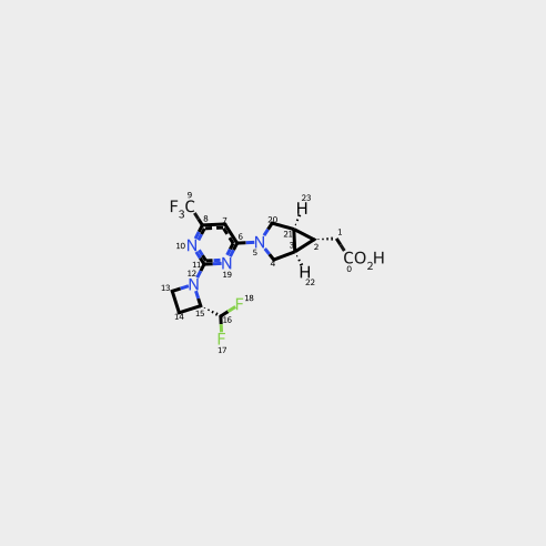 O=C(O)C[C@@H]1[C@H]2CN(c3cc(C(F)(F)F)nc(N4CC[C@H]4C(F)F)n3)C[C@@H]12